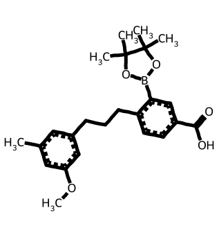 COc1cc(C)cc(CCCc2ccc(C(=O)O)cc2B2OC(C)(C)C(C)(C)O2)c1